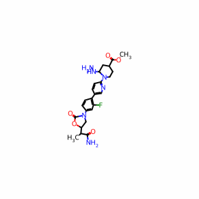 COC(=O)C1CCN(c2ccc(-c3ccc(N4CC(C(C)C(N)=O)OC4=O)cc3F)cn2)C(NN)C1